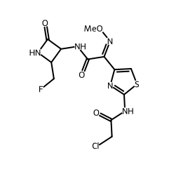 CO/N=C(\C(=O)NC1C(=O)NC1CF)c1csc(NC(=O)CCl)n1